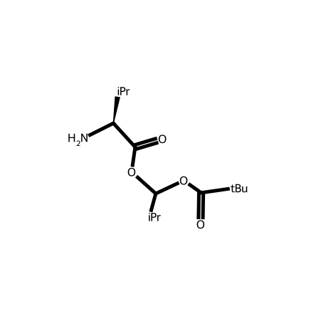 CC(C)C(OC(=O)[C@@H](N)C(C)C)OC(=O)C(C)(C)C